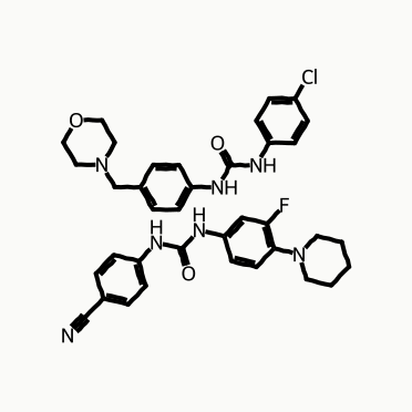 N#Cc1ccc(NC(=O)Nc2ccc(N3CCCCC3)c(F)c2)cc1.O=C(Nc1ccc(Cl)cc1)Nc1ccc(CN2CCOCC2)cc1